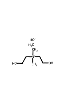 C[N+](C)(CCO)CCO.O.[OH-]